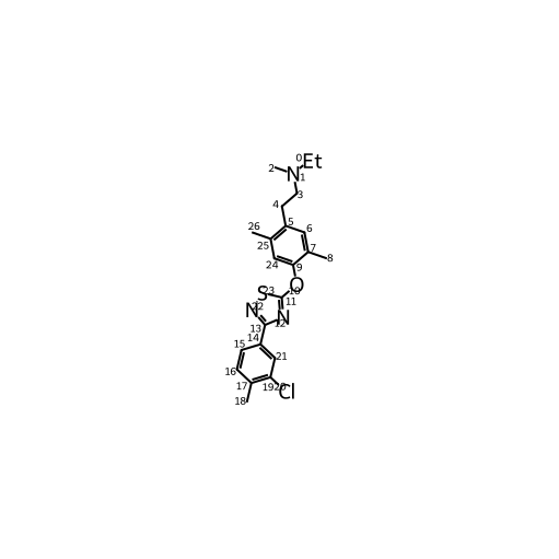 CCN(C)CCc1cc(C)c(Oc2nc(-c3ccc(C)c(Cl)c3)ns2)cc1C